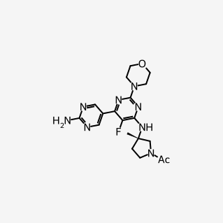 CC(=O)N1CC[C@](C)(Nc2nc(N3CCOCC3)nc(-c3cnc(N)nc3)c2F)C1